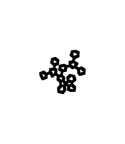 c1ccc(-c2cc(-c3ccccc3)nc(-c3cccc(-c4cc5c(cc4-c4nc(-c6ccccc6)nc(-c6ccccc6)n4)-c4ccccc4C5(c4ccccc4)c4ccccc4)c3)c2)cc1